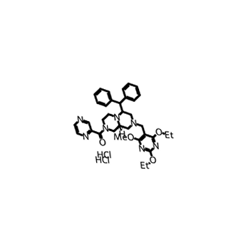 CCOc1nc(OC)c(CN2CC(C(c3ccccc3)c3ccccc3)N3CCN(C(=O)c4cnccn4)C[C@H]3C2)c(OCC)n1.Cl.Cl